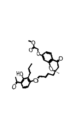 CCCc1c(OCCCC[C@]2(C)CC(=O)c3ccc(OCC(=O)OC)cc3O2)ccc(C(C)=O)c1O